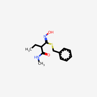 CCC(C(=O)NC)/C(=N/O)SCc1ccccc1